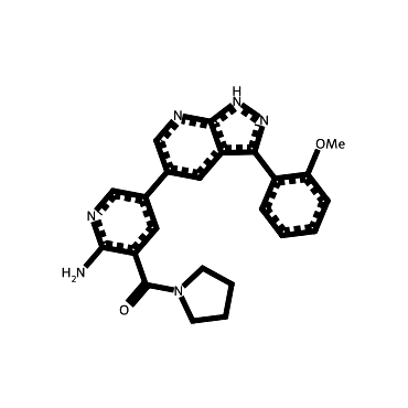 COc1ccccc1-c1n[nH]c2ncc(-c3cnc(N)c(C(=O)N4CCCC4)c3)cc12